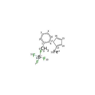 Cc1ccccc1.F[B-](F)(F)F.[Fe+][C]1=CC=CC1